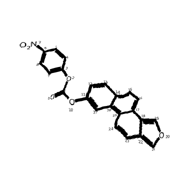 O=C(Oc1ccc([N+](=O)[O-])cc1)Oc1ccc2ccc3c4cocc4ccc3c2c1